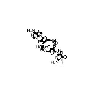 COC1C2COP(=O)(O)OC3C(CNS(=O)(=O)OC1C(n1nnc4c(=O)[nH]c(N)nc41)O2)OC(n1cnc2c(N)ncnc21)C3F